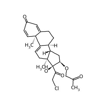 CC(=O)CO[C@@H]1C[C@H]2[C@@H]3CCC4=CC(=O)C=C[C@]4(C)C3=CC[C@]2(C)[C@@]1(O)C(=O)CCl